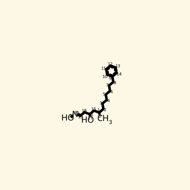 CC(CCCCCCCc1ccccc1)CC(O)CC=NO